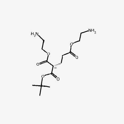 CC(C)(C)OC(=O)[C@@H](CCC(=O)OCCN)C(=O)OCCN